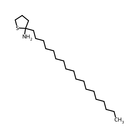 CCCCCCCCCCCCCCCCCCC1(N)CCCS1